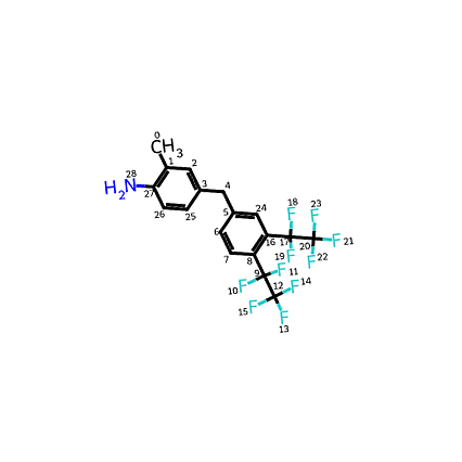 Cc1cc(Cc2ccc(C(F)(F)C(F)(F)F)c(C(F)(F)C(F)(F)F)c2)ccc1N